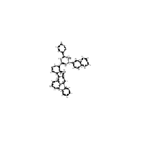 c1ccc(C2=NC(c3cccc4c3oc3cc5c6c(cccc6c34)-c3ccccc3-5)=NC(c3ccc4ccccc4c3)N2)cc1